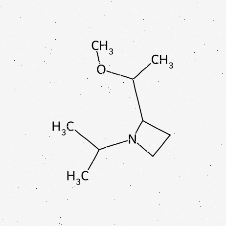 COC(C)C1CCN1C(C)C